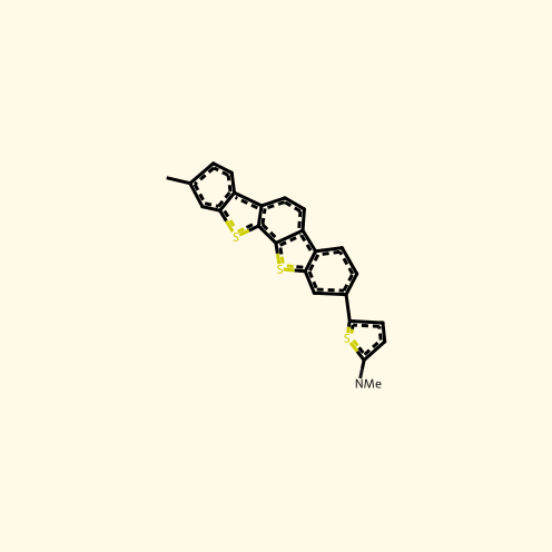 CNc1ccc(-c2ccc3c(c2)sc2c3ccc3c4ccc(C)cc4sc32)s1